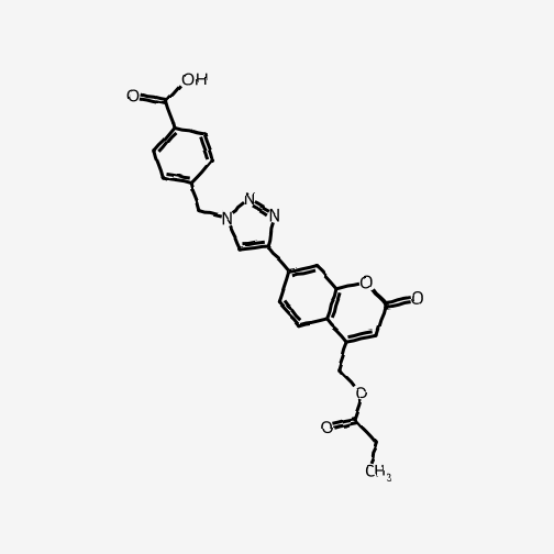 CCC(=O)OCc1cc(=O)oc2cc(-c3cn(Cc4ccc(C(=O)O)cc4)nn3)ccc12